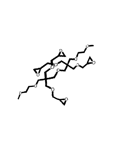 COCCOCC(COCC1CO1)(COCC1CO1)COCC(COCCOC)(COCC1CO1)COCC1CO1